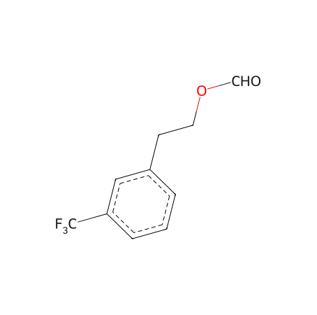 O=COCCc1cccc(C(F)(F)F)c1